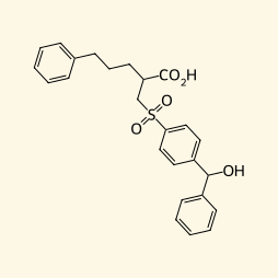 O=C(O)C(CCCc1ccccc1)CS(=O)(=O)c1ccc(C(O)c2ccccc2)cc1